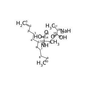 C=CCCCCCCCCC.CC(=N)C(=O)O.CCC(=O)O.[NaH]